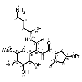 CCC[C@@H]1C[C@@H](C(=O)N[C@H]([C@H](C)NC(O)CCCN)[C@H]2OC(SC)[C@H](O)C(O)C2O)N(C)C1